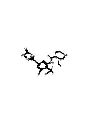 CC[C@@H]1CNCC[C@@H]1[C@H](C)Nc1cc(-c2n[nH]c(=O)o2)cc(F)c1C(F)(F)F